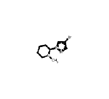 CN1CCCCC1n1cc(Br)cn1